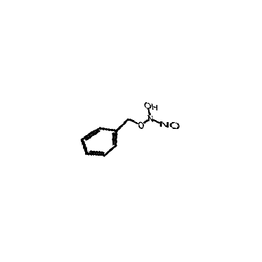 O=NN(O)OCc1ccccc1